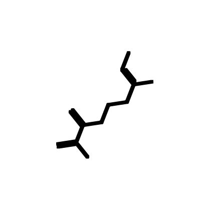 C=C(C)C(=C)CCCC(C)=CC